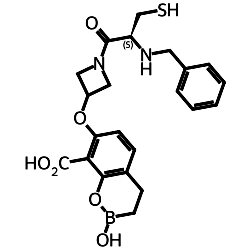 O=C(O)c1c(OC2CN(C(=O)[C@@H](CS)NCc3ccccc3)C2)ccc2c1OB(O)CC2